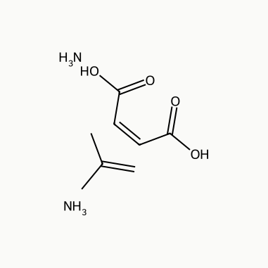 C=C(C)C.N.N.O=C(O)/C=C\C(=O)O